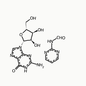 Nc1nc2c(ncn2[C@@H]2O[C@H](CO)[C@@H](O)[C@H]2O)c(=O)[nH]1.O=CNc1ncccn1